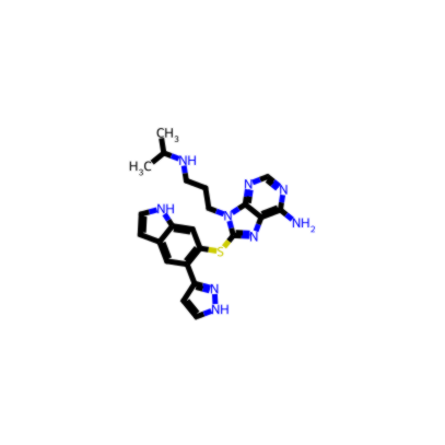 CC(C)NCCCn1c(Sc2cc3[nH]ccc3cc2-c2cc[nH]n2)nc2c(N)ncnc21